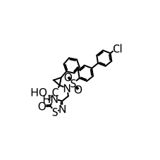 O=C(O)C1(N(Cc2nsc(=O)[nH]2)S(=O)(=O)c2ccc(-c3ccc(Cl)cc3)cc2)CC1c1ccccc1